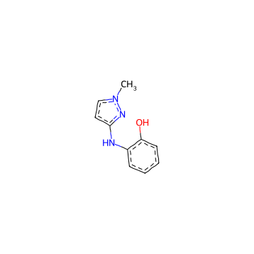 Cn1ccc(Nc2ccccc2O)n1